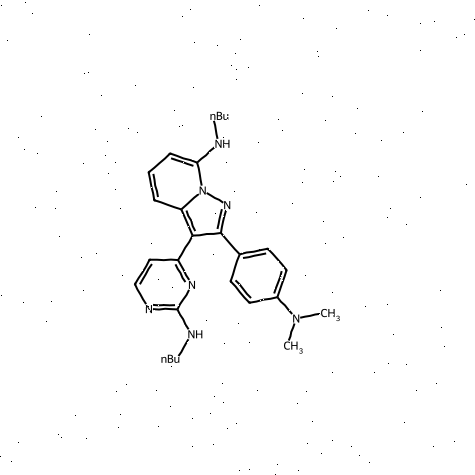 CCCCNc1nccc(-c2c(-c3ccc(N(C)C)cc3)nn3c(NCCCC)cccc23)n1